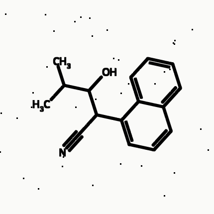 CC(C)C(O)C(C#N)c1cccc2ccccc12